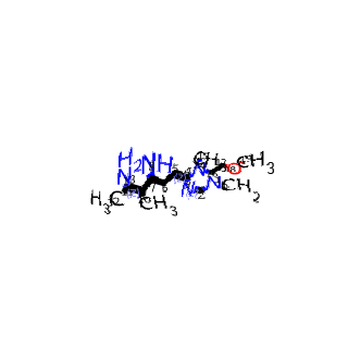 C=N/C=N\C(=C/CC(=N)/C(C)=C(/C)N)N(C)CCOC